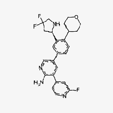 Nc1ncc(-c2ccc(C3CCOCC3)c([C@H]3CC(F)(F)CN3)c2)cc1-c1ccnc(F)c1